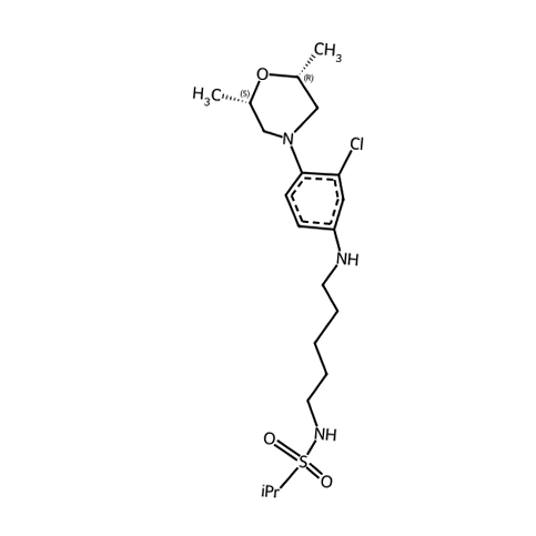 CC(C)S(=O)(=O)NCCCCCNc1ccc(N2C[C@@H](C)O[C@@H](C)C2)c(Cl)c1